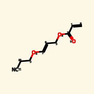 C=CC(=O)OCC=COCCC#N